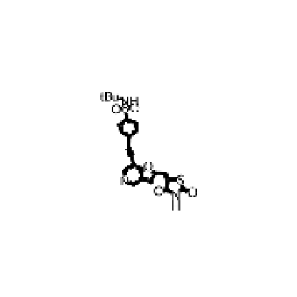 CC(C)(C)NS(=O)(=O)c1ccc(C#Cc2cncc3cc(C=C4SC(=O)NC4=O)oc23)cc1